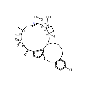 CCO[C@]1(CO)/C=C/C[C@H](C)[C@@H](C)S(=O)(=O)NC(=O)c2ccc3c(c2)N(CCCCc2cc(Cl)ccc2CO3)C[C@@H]2CC[C@H]21